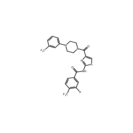 O=C(Nc1nc(C(=O)N2CCN(c3cccc(C(F)(F)F)c3)CC2)cs1)c1ccc(C(F)(F)F)c(F)c1